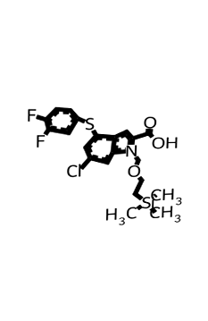 C[Si](C)(C)CCOCn1c(C(=O)O)cc2c(Sc3ccc(F)c(F)c3)cc(Cl)cc21